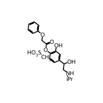 CC(C)NCC(O)c1ccc(OC(=O)COc2ccccc2)c(O)c1.CS(=O)(=O)O